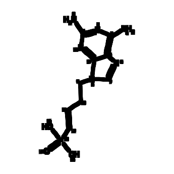 Nc1nc(N)c2ncn(CCC=CP(=O)(O)O)c2n1